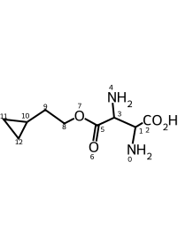 NC(C(=O)O)C(N)C(=O)OCCC1CC1